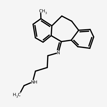 CCNCCC/N=C1/c2ccccc2CCc2c(C)cccc21